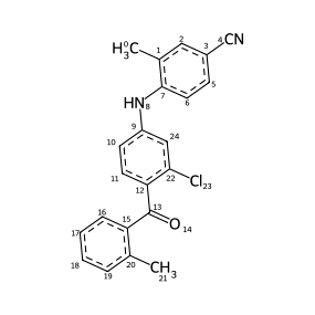 Cc1cc(C#N)ccc1Nc1ccc(C(=O)c2ccccc2C)c(Cl)c1